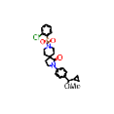 COC(c1ccc(N2CCC3(CCN(S(=O)(=O)c4ccccc4Cl)CC3)C2=O)cc1)C1CC1